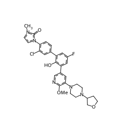 COc1ncc(-c2cc(F)cc(-c3ccc(-n4ccn(C)c4=O)c(Cl)c3)c2O)cc1N1CCN(C2CCOC2)CC1